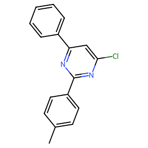 Cc1ccc(-c2nc(Cl)cc(-c3ccccc3)n2)cc1